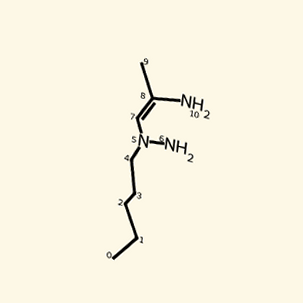 CCCCCN(N)/C=C(/C)N